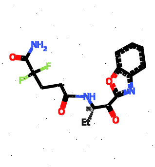 CC[C@H](NC(=O)[CH]CC(F)(F)C(N)=O)C(=O)c1nc2ccccc2o1